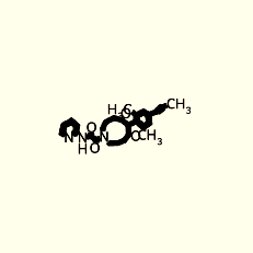 CC#Cc1cc(C)c(C2C(=O)CCCN(C(=O)C(=O)Nc3ccccn3)CCCC2=O)c(C)c1